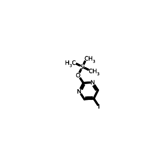 C[Si](C)(C)Oc1ncc(I)cn1